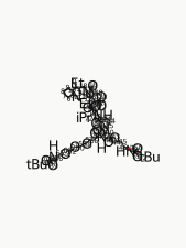 CCc1c2c(nc3ccccc13)-c1cc3c(c(=O)n1C2)COC(=O)[C@@]3(CC)OC(=O)[C@@H](NC(=O)[C@@H]1CCCN1C(=O)[C@H](CC(=O)OCCCCNC(=O)OC(C)(C)C)NC(=O)CCOCCOCCOCCNC(=O)OC(C)(C)C)C(C)C